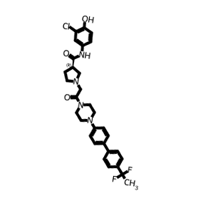 CC(F)(F)c1ccc(-c2ccc(N3CCN(C(=O)CN4CC[C@@H](C(=O)Nc5ccc(O)c(Cl)c5)C4)CC3)cc2)cc1